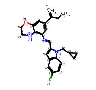 C=C(CC)c1cc(/N=C/c2cc3cc(F)ccc3n2CC2CC2)c2c(c1)OCCN2